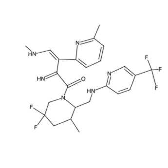 CN/C=C(\C(=N)C(=O)N1CC(F)(F)CC(C)C1CNc1ccc(C(F)(F)F)cn1)c1cccc(C)n1